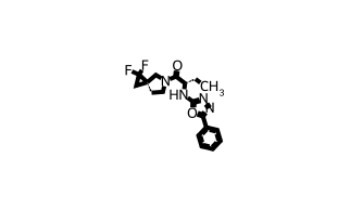 CC[C@H](Nc1nnc(-c2ccccc2)o1)C(=O)N1CC[C@]2(C1)CC2(F)F